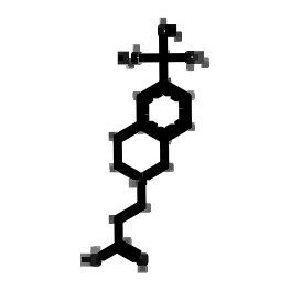 CC(C)(C)c1ccc2c(c1)CCN(CCC(=O)O)C2